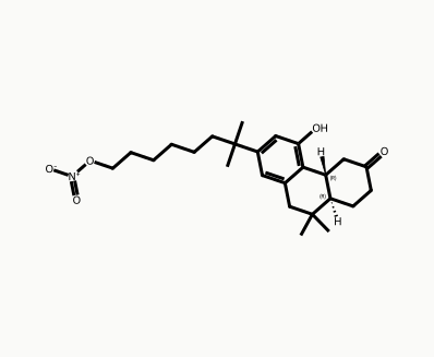 CC(C)(CCCCCCO[N+](=O)[O-])c1cc(O)c2c(c1)CC(C)(C)[C@@H]1CCC(=O)C[C@@H]21